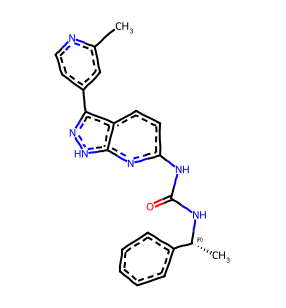 Cc1cc(-c2n[nH]c3nc(NC(=O)N[C@H](C)c4ccccc4)ccc23)ccn1